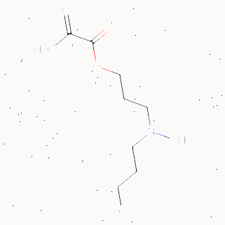 C=C(C)C(=O)OCCCN(C)CCCC